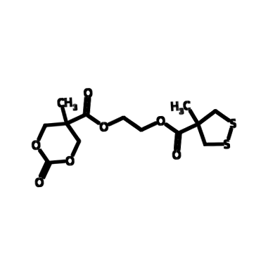 CC1(C(=O)OCCOC(=O)C2(C)CSSC2)COC(=O)OC1